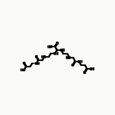 O=C(O)CCNC(=O)CNCCNC(NCCNCC(=O)NCCC(=O)O)C(=O)O